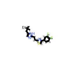 CCC(C)(C)Cc1cnc(CCc2nc(-c3ccc(F)c(F)c3)cs2)[nH]1